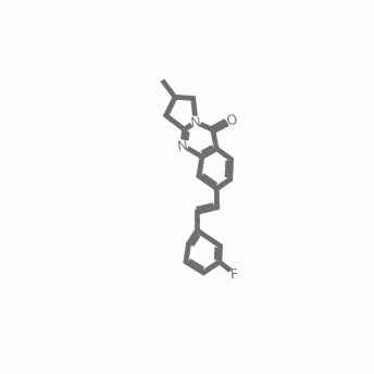 CC1Cc2nc3cc(C=Cc4cccc(F)c4)ccc3c(=O)n2C1